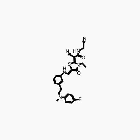 CCn1c(=C(C#N)C(=O)NCC#N)sc(=CNc2cccc(CCN(C)c3ccc(F)cc3)c2)c1=O